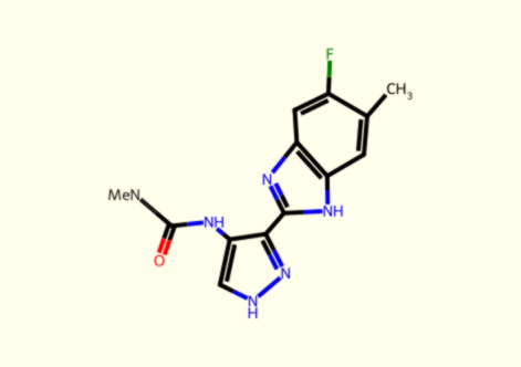 CNC(=O)Nc1c[nH]nc1-c1nc2cc(F)c(C)cc2[nH]1